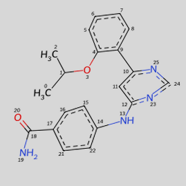 CC(C)Oc1ccccc1-c1cc(Nc2ccc(C(N)=O)cc2)ncn1